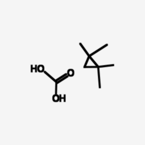 CC1(C)CC1(C)C.O=C(O)O